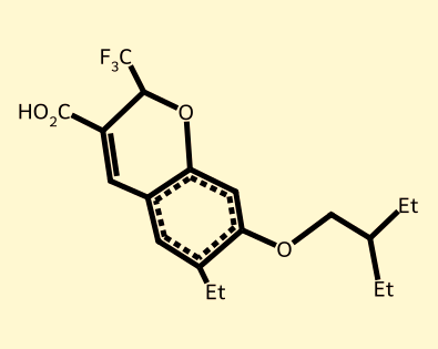 CCc1cc2c(cc1OCC(CC)CC)OC(C(F)(F)F)C(C(=O)O)=C2